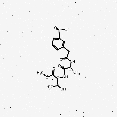 COC(=O)[C@@H](NC(=O)[C@H](C)NC(=O)Cc1cccc([N+](=O)[O-])c1)C(C)O